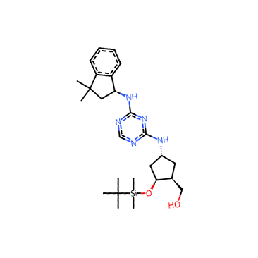 CC1(C)C[C@H](Nc2ncnc(N[C@@H]3C[C@@H](CO)[C@@H](O[Si](C)(C)C(C)(C)C)C3)n2)c2ccccc21